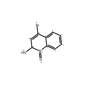 O=[N+]1c2ccccc2C(Br)=CC1O